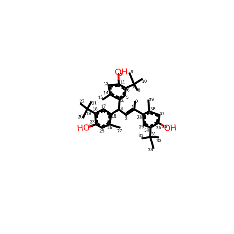 CC(=CC(c1cc(C(C)(C)C)c(O)cc1C)c1cc(C(C)(C)C)c(O)cc1C)c1cc(C(C)(C)C)c(O)cc1C